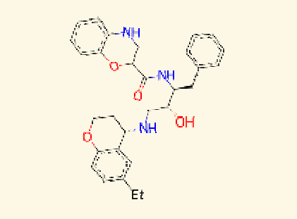 CCc1ccc2c(c1)[C@@H](NC[C@@H](O)[C@H](Cc1ccccc1)NC(=O)C1CNc3ccccc3O1)CCO2